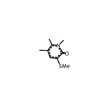 CSc1cc(C)c(C)n(C)c1=O